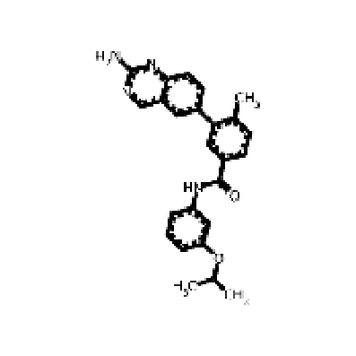 Cc1ccc(C(=O)Nc2cccc(OC(C)C)c2)cc1-c1ccc2nc(N)ncc2c1